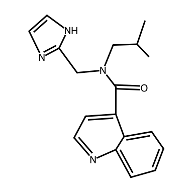 CC(C)CN(Cc1ncc[nH]1)C(=O)c1ccnc2ccccc12